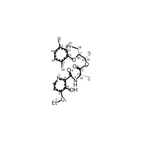 CCOc1ccnc(C(=O)N[C@@H](C)C(=O)O[C@@H](C)[C@@H](CC(C)C)Oc2cc(F)ccc2F)c1O